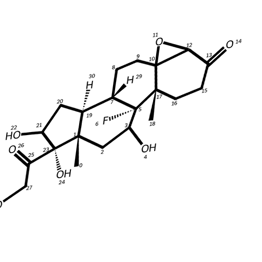 C[C@]12CC(O)[C@@]3(F)[C@@H](CCC45OC4C(=O)CC[C@@]53C)[C@@H]1CC(O)[C@]2(O)C(=O)CO